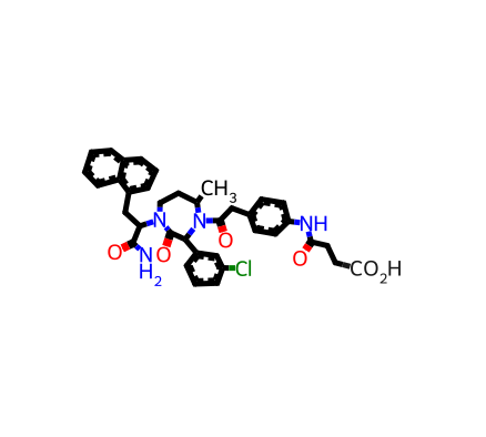 CC1CCN(C(Cc2cccc3ccccc23)C(N)=O)C(=O)C(c2cccc(Cl)c2)N1C(=O)Cc1ccc(NC(=O)CCC(=O)O)cc1